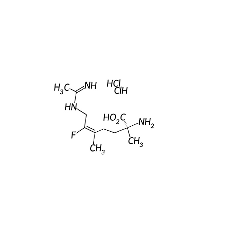 CC(=N)NC/C(F)=C(/C)CC[C@](C)(N)C(=O)O.Cl.Cl